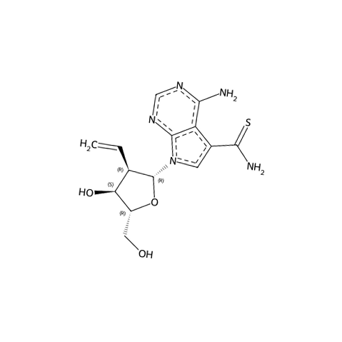 C=C[C@@H]1[C@H](O)[C@@H](CO)O[C@H]1n1cc(C(N)=S)c2c(N)ncnc21